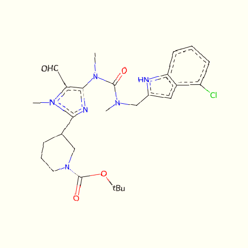 CN(Cc1cc2c(Cl)cccc2[nH]1)C(=O)N(C)c1nc(C2CCCN(C(=O)OC(C)(C)C)C2)n(C)c1C=O